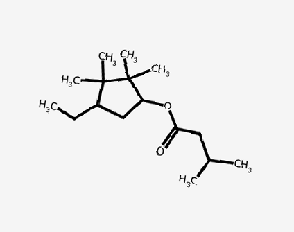 CCC1CC(OC(=O)CC(C)C)C(C)(C)C1(C)C